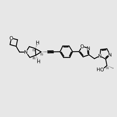 C[C@H](O)c1nccn1Cc1cc(-c2ccc(C#C[C@@H]3[C@H]4CN(CC5COC5)C[C@@H]34)cc2)on1